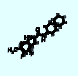 Cc1nc2[nH]c(C(=O)NC3CC[Si]4(CCCCC4)CC3)cc2c(F)c1F